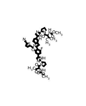 COC(=O)N[C@H](C(=O)N1CCC[C@H]1c1ncc(-c2cc(F)c3c(c2)OC(c2ccc(C#N)s2)n2c-3cc3cc(-c4cnc([C@@H]5CCCN5C(=O)[C@@H](NC(=O)OC)C(C)C)[nH]4)ccc32)[nH]1)C(C)C